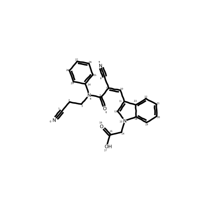 N#CCCN(C(=O)C(C#N)=Cc1cn(CC(=O)O)c2ccccc12)c1ccccc1